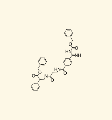 N=C(NC(=O)OCc1ccccc1)c1ccc(C(=O)NCCC(=O)NCC(C(=O)OCc2ccccc2)c2ccccc2)cc1